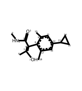 CNC(=O)/C(=C(\C)O)c1c(C)cc(C2CC2)cc1C